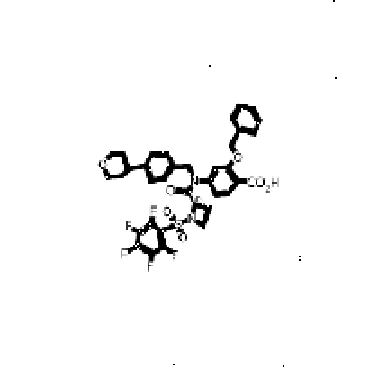 O=C(O)c1ccc(N(Cc2ccc(C3CCOCC3)cc2)C(=O)[C@H]2CCN2S(=O)(=O)c2c(F)c(F)c(F)c(F)c2F)cc1OCc1ccccc1